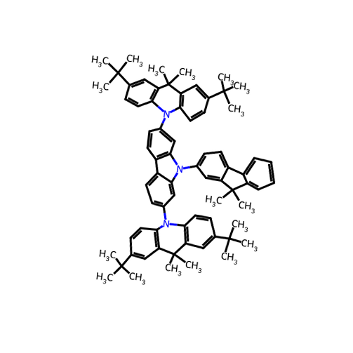 CC(C)(C)c1ccc2c(c1)C(C)(C)c1cc(C(C)(C)C)ccc1N2c1ccc2c3ccc(N4c5ccc(C(C)(C)C)cc5C(C)(C)c5cc(C(C)(C)C)ccc54)cc3n(-c3ccc4c(c3)C(C)(C)c3ccccc3-4)c2c1